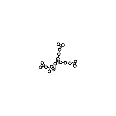 c1ccc(N(c2ccc(-n3c4ccccc4c4ccccc43)cc2)c2ccc(-c3ccc(-n4c5ccc(-c6ccc(-c7ccc(-n8c9ccccc9c9ccccc98)cc7)cc6)cc5c5cc(-c6ccc(-c7ccc(-n8c9ccccc9c9ccccc98)cc7)cc6)ccc54)cc3)c3nsnc23)cc1